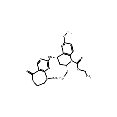 CCOC(=O)N1c2ccc(OC)nc2[C@@H](Nc2ncc3c(n2)N(C)CCOC3=O)C[C@H]1CC